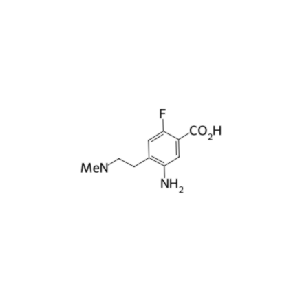 CNCCc1cc(F)c(C(=O)O)cc1N